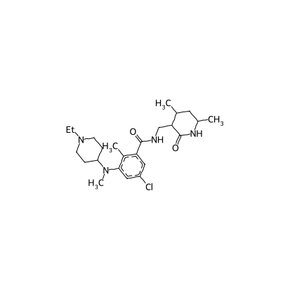 CCN1CCC(N(C)c2cc(Cl)cc(C(=O)NCC3C(=O)NC(C)CC3C)c2C)CC1